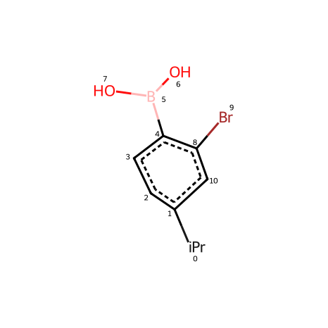 CC(C)c1ccc(B(O)O)c(Br)c1